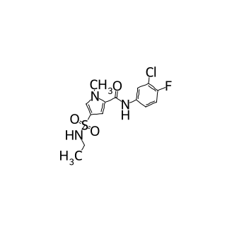 CCNS(=O)(=O)c1cc(C(=O)Nc2ccc(F)c(Cl)c2)n(C)c1